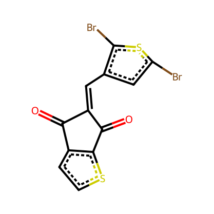 O=C1/C(=C/c2cc(Br)sc2Br)C(=O)c2sccc21